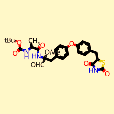 COC(C=O)(Cc1ccc(Oc2ccc(CC3SC(=O)NC3=O)cc2)cc1)NC(=O)C(C)NC(=O)OC(C)(C)C